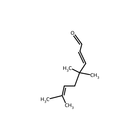 CC(C)=CCC(C)(C)C=CC=O